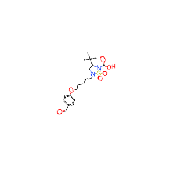 CC(C)(C)C1CN(CCCCCOc2ccc(C=O)cc2)S(=O)(=O)N1C(=O)O